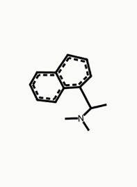 CC(c1cccc2ccccc12)N(C)C